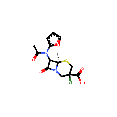 CC(=O)N(c1ccco1)C1C(=O)N2CC(Cl)(C(=O)O)CS[C@H]12